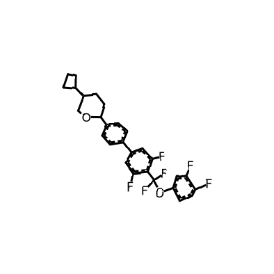 Fc1ccc(OC(F)(F)c2c(F)cc(-c3ccc(C4CCC(C5CCC5)CO4)cc3)cc2F)cc1F